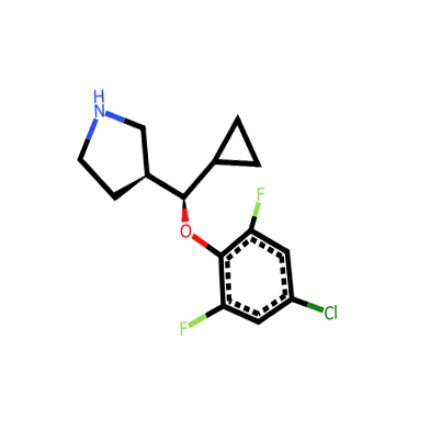 Fc1cc(Cl)cc(F)c1O[C@H](C1CC1)[C@H]1CCNC1